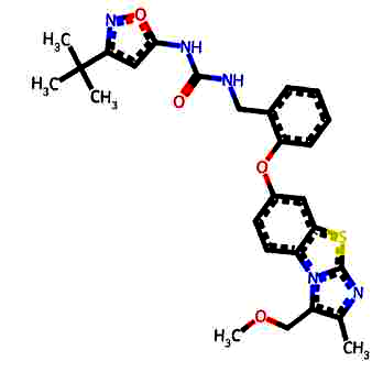 COCc1c(C)nc2sc3cc(Oc4ccccc4CNC(=O)Nc4cc(C(C)(C)C)no4)ccc3n12